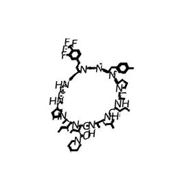 CC[C@H](C)[C@H]1C(C)NC2(CCCC2)CNCCNC=CC(CCc2ccc(C(F)(F)F)c(F)c2)=NC=CN(C)C=C(Cc2ccc(C)cc2)N(C)C=C2CCCN2[C@@H](C)C(C)N[C@@H]([C@@H](C)CC)CN[C@@H](CC(C)C)C(C)NCC2[C@@H](C(=O)N3CCCCC3)C(C)N21